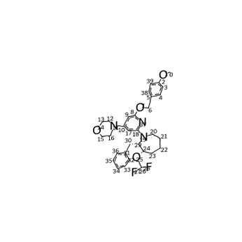 COc1ccc(COc2cc(N3CCOCC3)cc(N3CCCC[C@H](OC(F)F)[C@@H]3Cc3ccccc3)n2)cc1